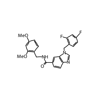 COc1ccc(CNC(=O)c2ccc3ncn(Cc4ccc(F)cc4F)c3c2)c(OC)c1